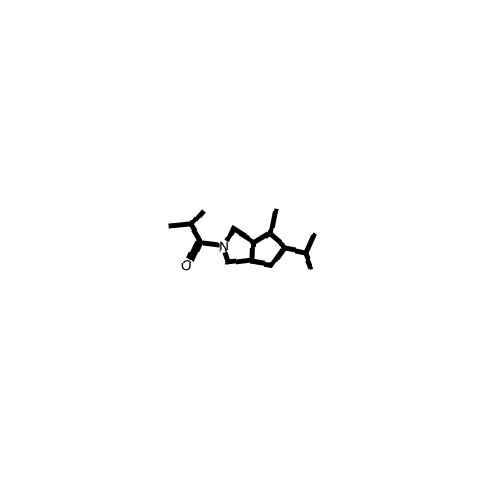 CC(C)C(=O)N1CC2CC(C(C)C)C(C)C2C1